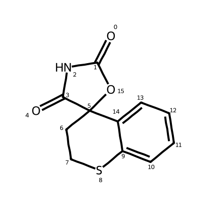 O=C1NC(=O)C2(CCSc3ccccc32)O1